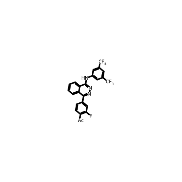 CC(=O)c1ccc(-c2nnc(Nc3cc(C(F)(F)F)cc(C(F)(F)F)c3)c3ccccc23)cc1F